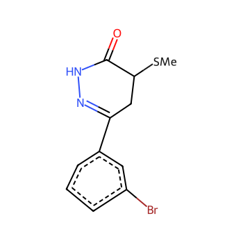 CSC1CC(c2cccc(Br)c2)=NNC1=O